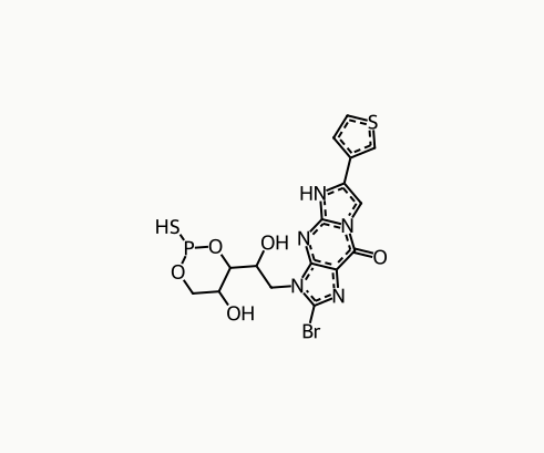 O=c1c2nc(Br)n(CC(O)C3OP(S)OCC3O)c2nc2[nH]c(-c3ccsc3)cn12